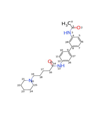 CC(=O)Nc1cccc(-c2ccc(NC(=O)CCCCN3CCCCC3)cc2)c1